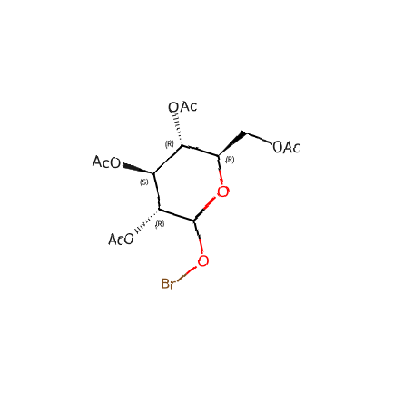 CC(=O)OC[C@H]1OC(OBr)[C@H](OC(C)=O)[C@@H](OC(C)=O)[C@@H]1OC(C)=O